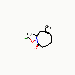 CC1=CCCCCC(=O)N(OCF)C(C)C1